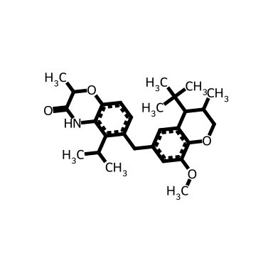 COc1cc(Cc2ccc3c(c2C(C)C)NC(=O)C(C)O3)cc2c1OCC(C)C2C(C)(C)C